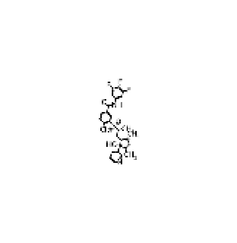 CC1C[C@H](C)C(CC(C)S(=O)(=O)c2cc(C(=O)Nc3cc(F)c(F)c(F)c3)ccc2Cl)[C@@]1(O)c1cccnc1